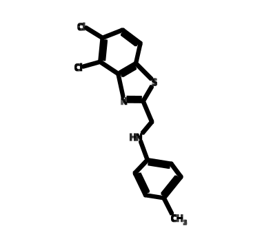 Cc1ccc(NCc2nc3c(Cl)c(Cl)ccc3s2)cc1